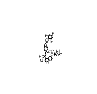 COc1ccc2ncc(Cl)c([C@H](O)CCC3(CC(=O)O)CCN(CCOc4c(F)cc(F)cc4F)CC3)c2c1